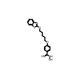 N=C(NO)c1ccc(OCCCCCOc2nc3ccccc3s2)cc1